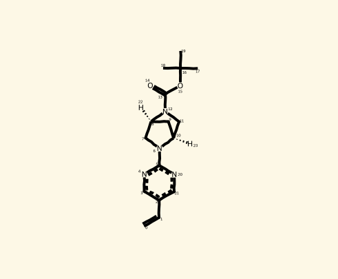 C=Cc1cnc(N2C[C@@H]3C[C@H]2CN3C(=O)OC(C)(C)C)nc1